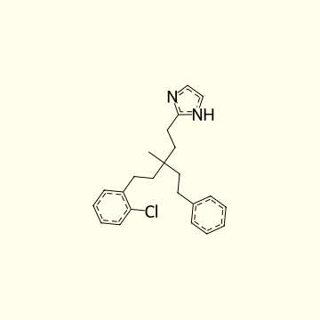 CC(CCc1ccccc1)(CCc1ncc[nH]1)CCc1ccccc1Cl